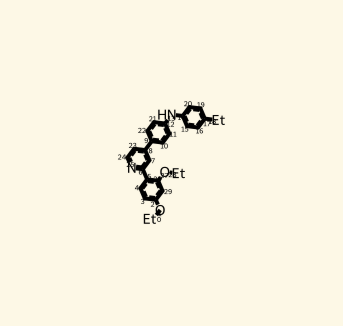 CCOc1ccc(-c2cc(-c3ccc(Nc4ccc(CC)cc4)cc3)ccn2)c(OCC)c1